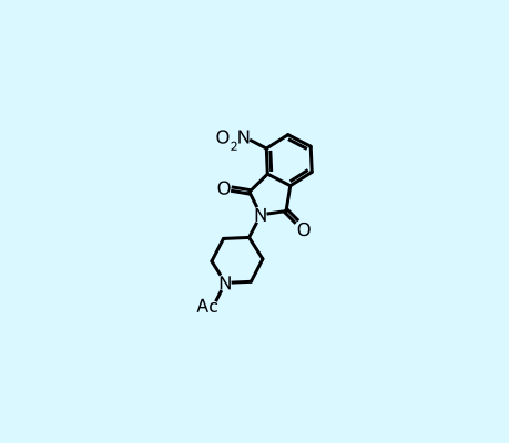 CC(=O)N1CCC(N2C(=O)c3cccc([N+](=O)[O-])c3C2=O)CC1